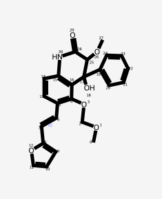 COCOc1c(/C=C/c2ccco2)ccc2c1C(O)(c1ccccc1)C(OC)C(=O)N2